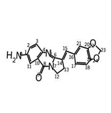 Nc1ccc2nc3n(c(=O)c2c1)CCC3=Cc1ccc2c(c1)OCO2